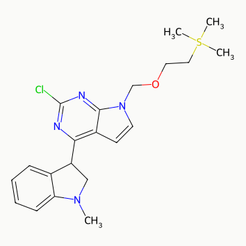 CN1CC(c2nc(Cl)nc3c2ccn3COCCS(C)(C)C)c2ccccc21